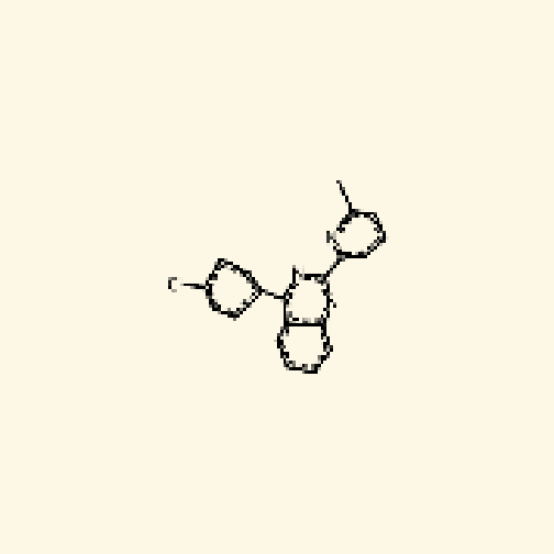 Cc1cccc(-c2nc(-c3ccc(Cl)cc3)c3ccccc3n2)n1